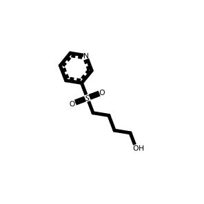 O=S(=O)(CCCCO)c1cccnc1